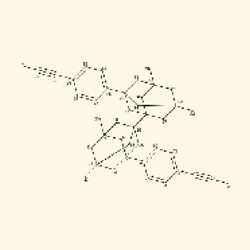 CC#Cc1ccc(C23CC4(C)CC(C)(C2)CC(C25CC6(C)CC(C)(CC(c7ccc(C#CC)cc7)(C6)C2)C5)(C4)C3)cc1